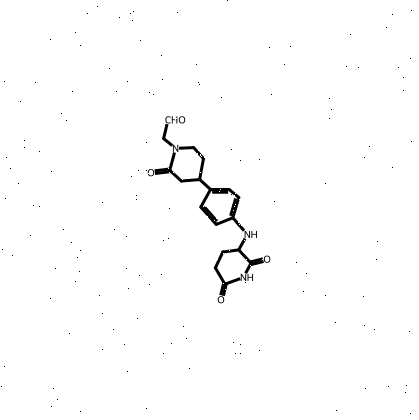 O=CCN1CCC(c2ccc(NC3CCC(=O)NC3=O)cc2)CC1=O